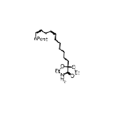 CCCCC/C=C\C/C=C\CCCCCCC(OCC)(OCC)C(N)=O